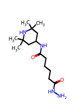 CC1(C)CC(NC(=O)CCCCC(=O)NN)CC(C)(C)N1